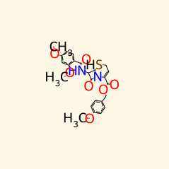 COc1ccc(COC(=O)C2=CCS[C@H]3C(NC(=O)c4ccc(OC)cc4OC)C(=O)N23)cc1